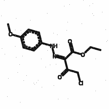 CCOC(=O)/C(=N\Nc1ccc(OC)cc1)C(=O)CCl